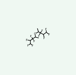 CC(OC(C)C(F)(F)C(F)C(F)F)C(F)(F)C(F)C(F)F